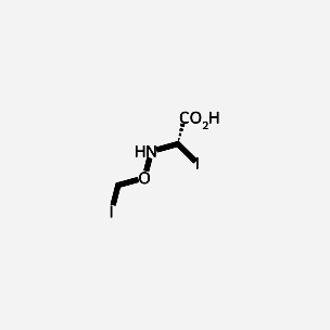 O=C(O)[C@H](I)NOCI